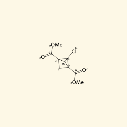 COC(=O)C12CC(C(=O)OC)(C1)C2Cl